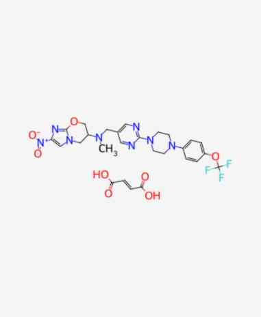 CN(Cc1cnc(N2CCN(c3ccc(OC(F)(F)F)cc3)CC2)nc1)C1COc2nc([N+](=O)[O-])cn2C1.O=C(O)/C=C/C(=O)O